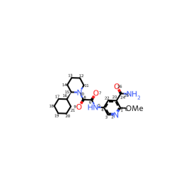 COc1ncc(NC(=O)C(=O)N2CCCC[C@@H]2C2CCCCC2)cc1C(N)=O